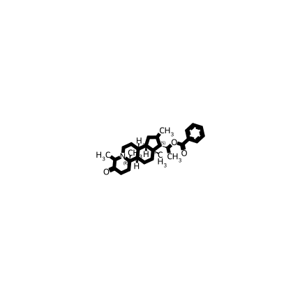 CC1C[C@H]2[C@@H]3CCN4C(C)C(=O)CC[C@]4(C)[C@H]3CC[C@]2(C)[C@H]1C(C)OC(=O)c1ccccc1